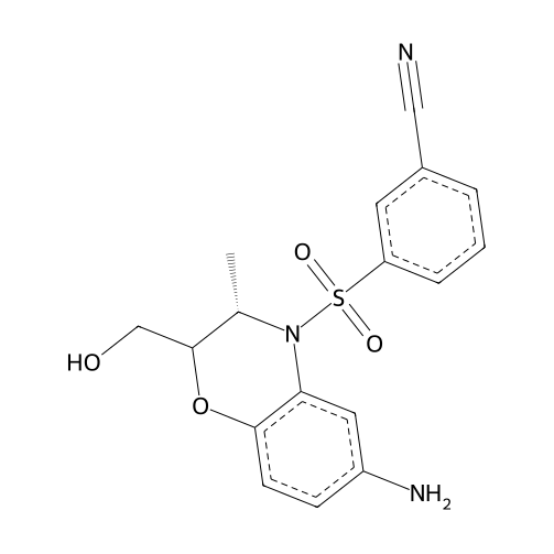 C[C@H]1C(CO)Oc2ccc(N)cc2N1S(=O)(=O)c1cccc(C#N)c1